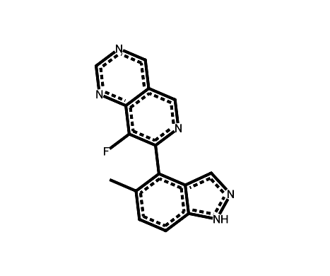 Cc1ccc2[nH]ncc2c1-c1ncc2cncnc2c1F